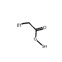 CCCC(=O)OS